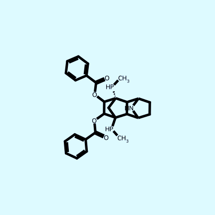 CPC12C[C@@](PC)(C(OC(=O)c3ccccc3)C1OC(=O)c1ccccc1)C1C3CCC(N3)C12